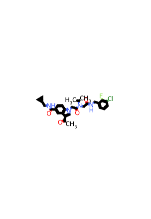 CC(=O)c1cn(CC(=O)N(CC(=O)NCc2cccc(Cl)c2F)C(C)C)c2ccc(C(=O)NCC3CC3)cc12